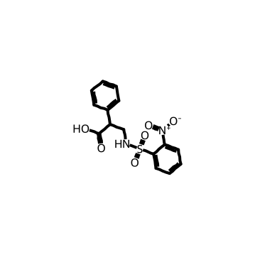 O=C(O)C(CNS(=O)(=O)c1ccccc1[N+](=O)[O-])c1ccccc1